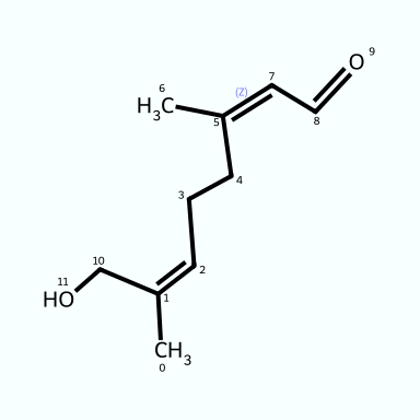 CC(=CCC/C(C)=C\C=O)CO